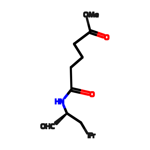 COC(=O)CCCC(=O)N[C@H](C=O)CC(C)C